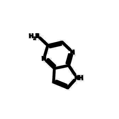 Bc1cnc2[nH]ccc2n1